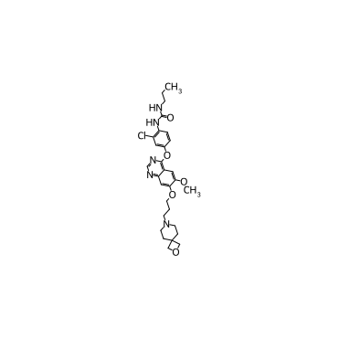 CCCNC(=O)Nc1ccc(Oc2ncnc3cc(OCCCN4CCC5(CC4)COC5)c(OC)cc23)cc1Cl